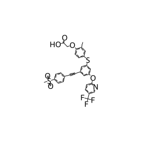 Cc1cc(Sc2cc(C#Cc3ccc(S(C)(=O)=O)cc3)cc(Oc3ccc(C(F)(F)F)cn3)c2)ccc1OCC(=O)O